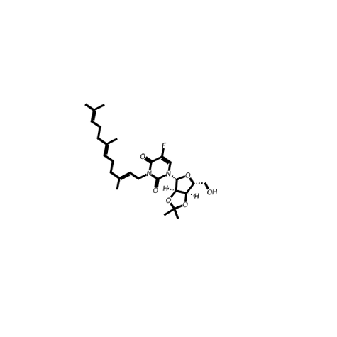 CC(C)=CCC/C(C)=C/CC/C(C)=C/Cn1c(=O)c(F)cn([C@@H]2O[C@H](CO)[C@H]3OC(C)(C)O[C@H]32)c1=O